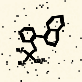 CC(C)(Sc1cnccc1-c1cccc2ncccc12)C(=O)O